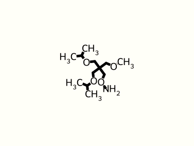 COCC(CON)(COC(C)C)COC(C)C